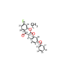 CCOC(=O)C(Cc1ccc(Oc2ccccc2)cc1)C(=O)c1ccc(F)cc1